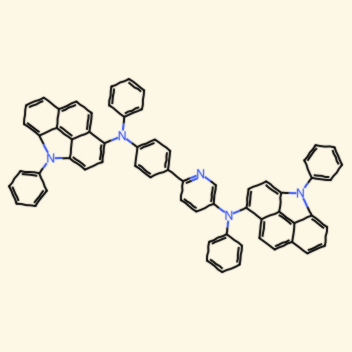 c1ccc(N(c2ccc(-c3ccc(N(c4ccccc4)c4ccc5c6c4ccc4cccc(c46)n5-c4ccccc4)cn3)cc2)c2ccc3c4c2ccc2cccc(c24)n3-c2ccccc2)cc1